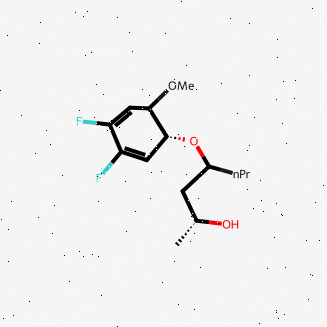 CCCC(C[C@@H](C)O)O[C@@H]1C=C(F)C(F)=CC1OC